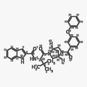 CC(C)(C)[C@H](NC(=O)c1cc2ccccc2[nH]1)C(=O)N1C[C@@H]2C[C@H]1CN2C(=O)c1cccc(Oc2ccccc2)c1